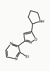 CCc1nccnc1-c1cc(C2CCCN2)on1